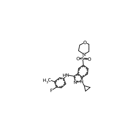 Cc1cc(Nc2nn(C3CC3)c3ccc(S(=O)(=O)N4CCOCC4)cc23)ccc1F